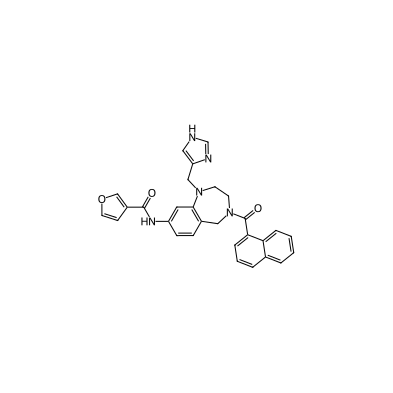 O=C(Nc1ccc2c(c1)N(Cc1c[nH]cn1)CCN(C(=O)c1cccc3ccccc13)C2)c1ccoc1